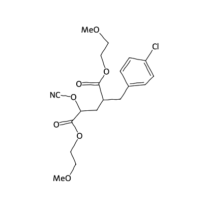 COCCOC(=O)C(Cc1ccc(Cl)cc1)CC(OC#N)C(=O)OCCOC